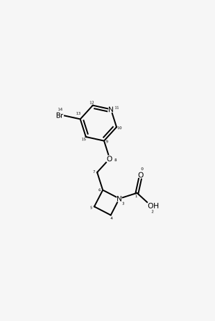 O=C(O)N1CCC1COc1cncc(Br)c1